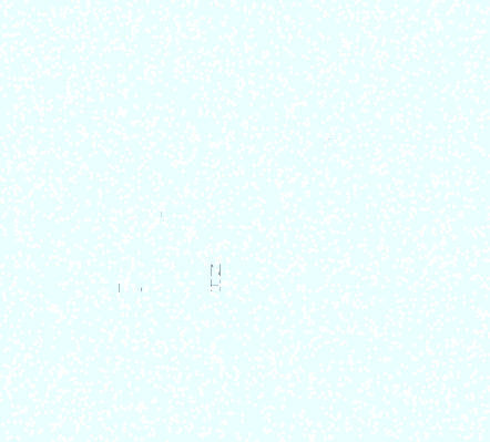 CC(=O)NC1CCC23OC2CCC13